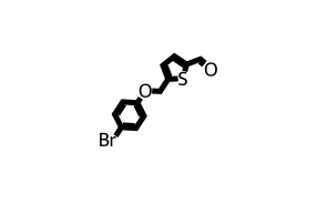 O=Cc1ccc(COc2ccc(Br)cc2)s1